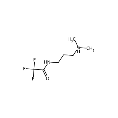 C[SiH](C)CCCNC(=O)C(F)(F)F